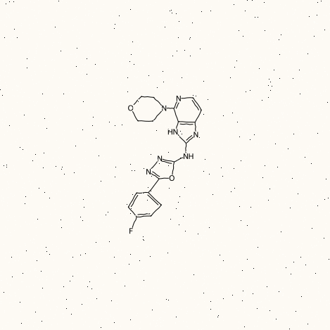 Fc1ccc(-c2nnc(Nc3nc4ccnc(N5CCOCC5)c4[nH]3)o2)cc1